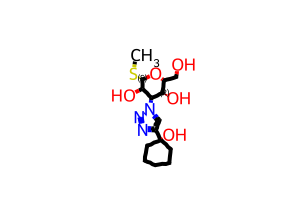 CS[C@@H]1OC(CO)[C@H](O)C(n2cc(C3(O)CCCCC3)nn2)C1O